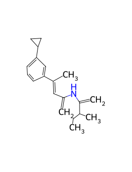 C=C(/C=C(\C)c1cccc(C2CC2)c1)NC(=C)C(C)CC